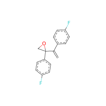 C=C(c1ccc(F)cc1)C1(c2ccc(F)cc2)CO1